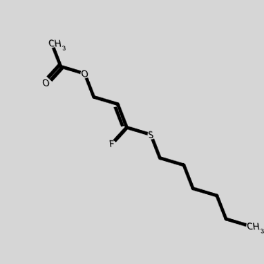 CCCCCCSC(F)=CCOC(C)=O